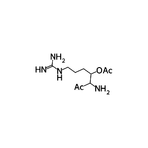 CC(=O)OC(CCCNC(=N)N)C(N)C(C)=O